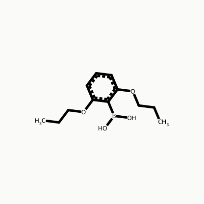 CCCOc1cccc(OCCC)c1B(O)O